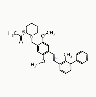 COc1cc(CN2CCCC[C@H]2C(C)=O)c(OC)cc1/C=C/c1cccc(-c2ccccc2)c1C